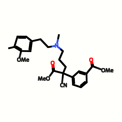 COC(=O)c1cccc(C(C#N)(CCCN(C)CCc2ccc(C)c(OC)c2)C(=O)OC)c1